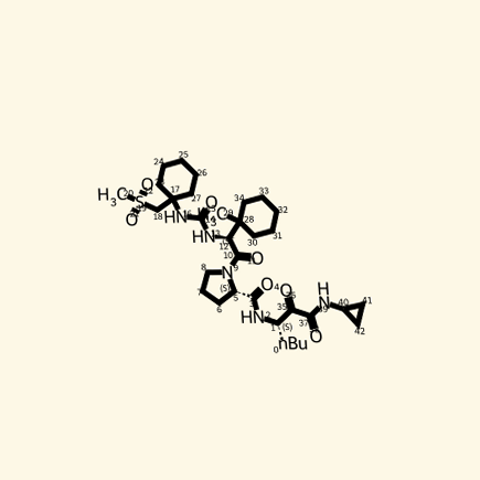 CCCC[C@H](NC(=O)[C@@H]1CCCN1C(=O)[C@@H](NC(=O)NC1(CS(C)(=O)=O)CCCCC1)C1(C)CCCCC1)C(=O)C(=O)NC1CC1